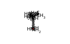 CCC(C)[C@@H](N)CCCN(C(=N)NC(=O)CCCCCCCCNC(=N)N)C(=O)[C@@H](N)CC(=O)O